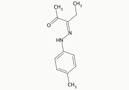 CCC(=NNc1ccc(C)cc1)C(C)=O